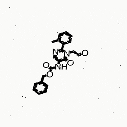 Cc1ccccc1-c1ncc(NC(=O)OCc2ccccc2)c(=O)n1CC=O